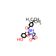 CC(C)(C)c1ccc(C(=O)N[C@@H](Cc2ccc(O)cc2)C(=O)N2CCC3OCC(=O)C32)cc1